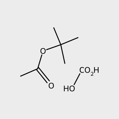 CC(=O)OC(C)(C)C.O=C(O)O